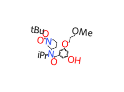 COCCCOc1cc(O)cc(C(=O)N(C(C)C)[C@@H]2CCCN(C(=O)OC(C)(C)C)C2)c1